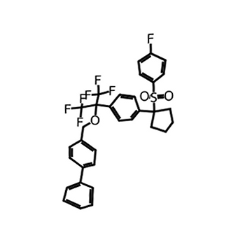 O=S(=O)(c1ccc(F)cc1)C1(c2ccc(C(OCc3ccc(-c4ccccc4)cc3)(C(F)(F)F)C(F)(F)F)cc2)CCCC1